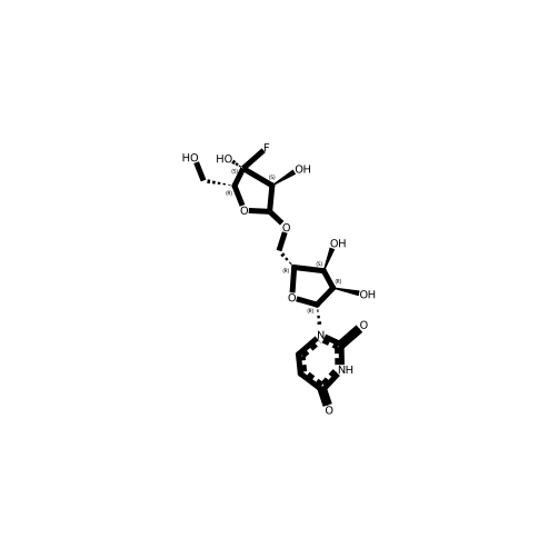 O=c1ccn([C@@H]2O[C@H](COC3O[C@H](CO)[C@@](O)(F)[C@H]3O)[C@@H](O)[C@H]2O)c(=O)[nH]1